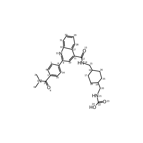 CN(C)C(=O)c1ccc(-c2cc(C(=O)NCC3CCC(CNC(=O)O)CC3)c3ccccc3n2)cc1